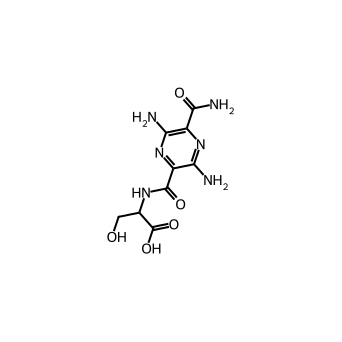 NC(=O)c1nc(N)c(C(=O)NC(CO)C(=O)O)nc1N